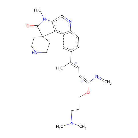 C=N/C(=C\C=C(/C)c1ccc2ncc3c(c2c1)C1(CCNCC1)C(=O)N3C)OCCCN(C)C